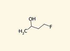 [CH2]C(O)CCF